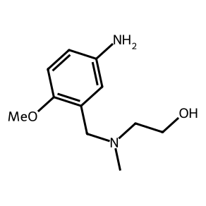 COc1ccc(N)cc1CN(C)CCO